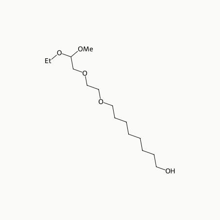 CCOC(COCCOCCCCCCCCO)OC